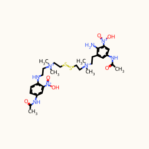 CC(=O)Nc1ccc(NCC[N+](C)(C)CCSSCC[N+](C)(C)CCc2cc(NC(C)=O)cc([N+](=O)O)c2N)c([N+](=O)O)c1